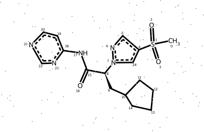 CS(=O)(=O)c1cnn([C@@H](CC2CCCC2)C(=O)Nc2ccncn2)c1